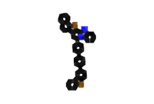 c1ccc2c(c1)ccc1c3cc(-c4ccc(-c5ccc(-c6ccc7sc8ccccc8c7c6)cc5)cc4)n4c5ccccc5nc4c3sc21